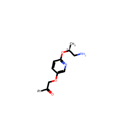 CC(C)C(=O)COc1ccc(O[C@@H](C)CN)nc1